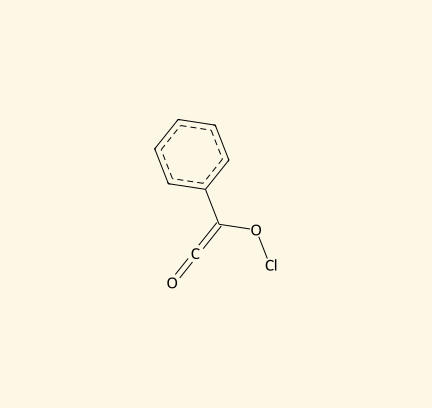 O=C=C(OCl)c1ccccc1